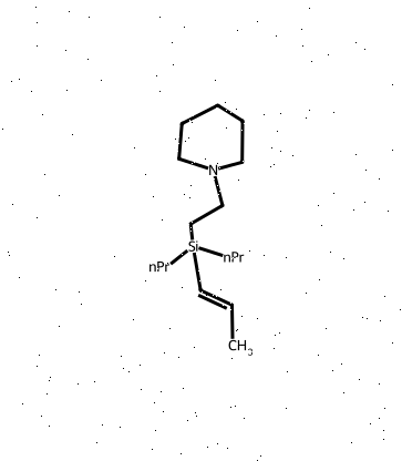 CC=C[Si](CCC)(CCC)CCN1CCCCC1